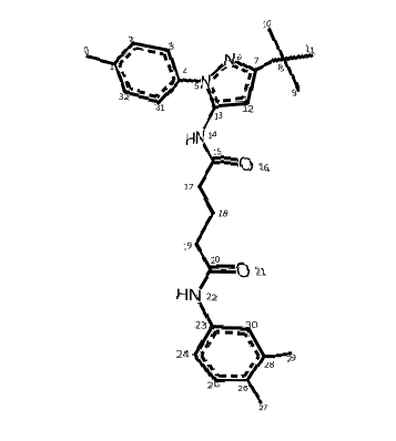 Cc1ccc(-n2nc(C(C)(C)C)cc2NC(=O)CCCC(=O)Nc2ccc(C)c(C)c2)cc1